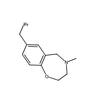 CC(C)Cc1ccc2c(c1)CN(C)CCO2